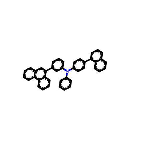 c1ccc(N(c2ccc(-c3cccc4ccccc34)cc2)c2cccc(-c3cc4ccccc4c4ccccc34)c2)cc1